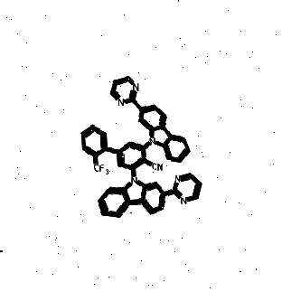 N#Cc1c(-n2c3ccccc3c3ccc(-c4ncccn4)cc32)cc(-c2ccccc2C(F)(F)F)cc1-n1c2ccccc2c2ccc(-c3ncccn3)cc21